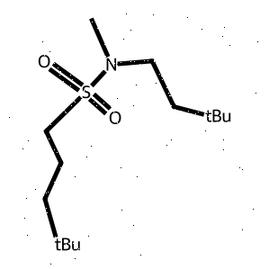 CN(CCC(C)(C)C)S(=O)(=O)CCCC(C)(C)C